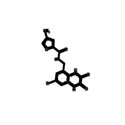 Cc1coc(C(=O)NCc2cc(Br)cc3[nH]c(=O)c(=O)[nH]c23)c1